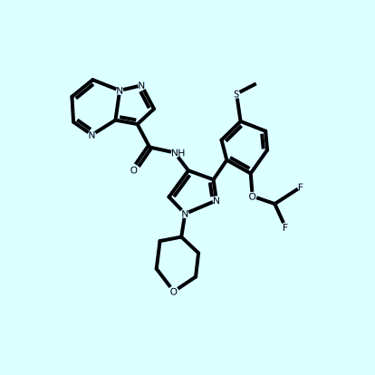 CSc1ccc(OC(F)F)c(-c2nn(C3CCOCC3)cc2NC(=O)c2cnn3cccnc23)c1